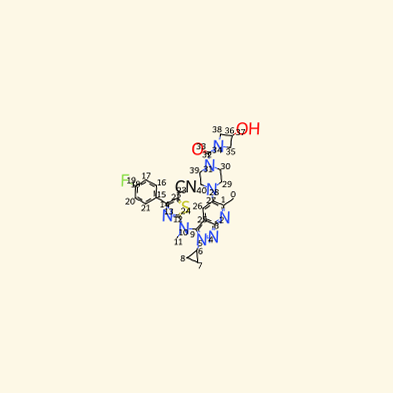 Cc1nc2nn(C3CC3)c(N(C)c3nc(-c4ccc(F)cc4)c(C#N)s3)c2cc1N1CCN(C(=O)N2CC(O)C2)CC1